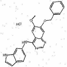 COc1cc2c(Nc3ccc4cc[nH]c4c3)ncnc2cc1OCc1ccccc1.Cl